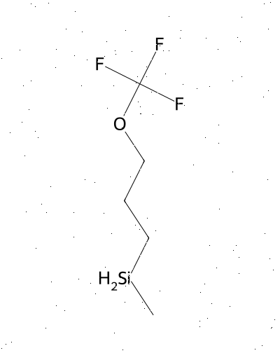 C[SiH2]CCCOC(F)(F)F